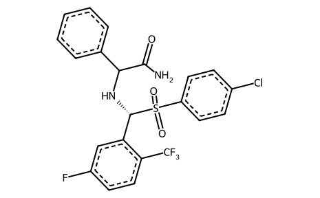 NC(=O)C(N[C@@H](c1cc(F)ccc1C(F)(F)F)S(=O)(=O)c1ccc(Cl)cc1)c1ccccc1